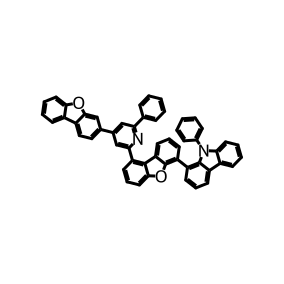 c1ccc(-c2cc(-c3ccc4c(c3)oc3ccccc34)cc(-c3cccc4oc5c(-c6cccc7c8ccccc8n(-c8ccccc8)c67)cccc5c34)n2)cc1